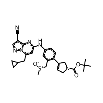 C[S+]([O-])Cc1cc(Nc2cc(CC3CC3)n3ncc(C#N)c3n2)ccc1C1=CCN(C(=O)OC(C)(C)C)C1